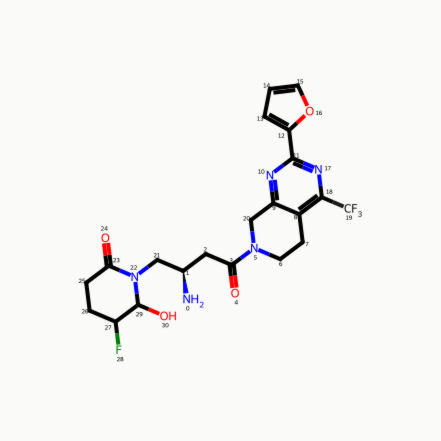 N[C@H](CC(=O)N1CCc2c(nc(-c3ccco3)nc2C(F)(F)F)C1)CN1C(=O)CCC(F)C1O